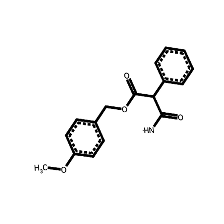 COc1ccc(COC(=O)C(C([NH])=O)c2ccccc2)cc1